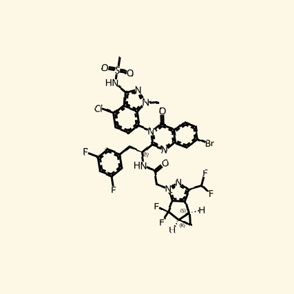 Cn1nc(NS(C)(=O)=O)c2c(Cl)ccc(-n3c([C@H](Cc4cc(F)cc(F)c4)NC(=O)Cn4nc(C(F)F)c5c4C(F)(F)[C@@H]4C[C@H]54)nc4cc(Br)ccc4c3=O)c21